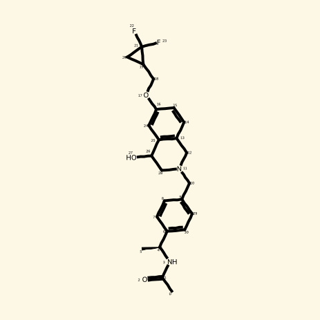 CC(=O)N[C@@H](C)c1ccc(CN2Cc3ccc(OCC4CC4(F)F)cc3C(O)C2)cc1